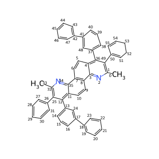 Cc1nc2c(ccc3c2ccc2c(-c4cccc(-c5ccccc5)c4)c(-c4ccccc4)c(C)nc23)c(-c2cccc(-c3ccccc3)c2)c1C1=CCCC=C1